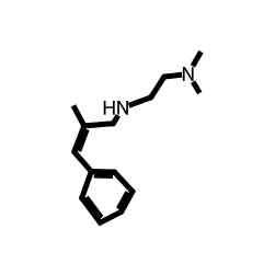 CC(=Cc1ccccc1)CNCCN(C)C